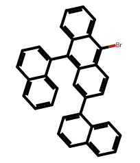 Brc1c2ccccc2c(-c2cccc3ccccc23)c2cc(-c3cccc4ccccc34)ccc12